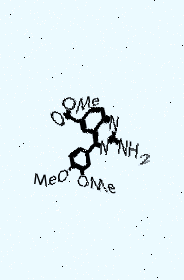 COC(=O)c1ccc2nc(N)nc(-c3ccc(OC)c(OC)c3)c2c1